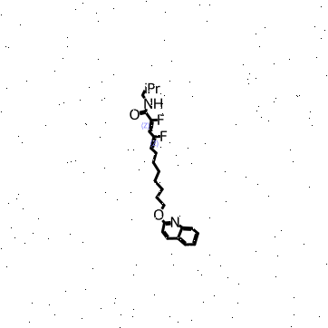 CC(C)CNC(=O)/C(F)=C/C(F)=C/CCCCCCCOc1ccc2ccccc2n1